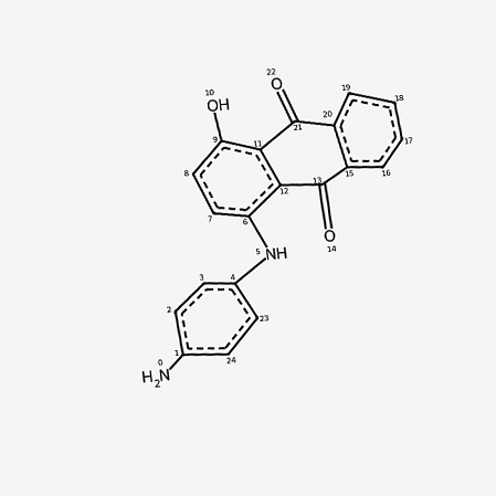 Nc1ccc(Nc2ccc(O)c3c2C(=O)c2ccccc2C3=O)cc1